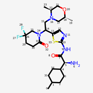 CC1CCC([C@H](N)C(=O)Nc2ncc(C(CN3C[C@@H](C)OC[C@@H]3C)N3CC(F)(F)CCC3=O)s2)CC1